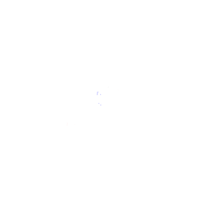 CCOC(=O)N/N=C(\C)c1ccccc1O